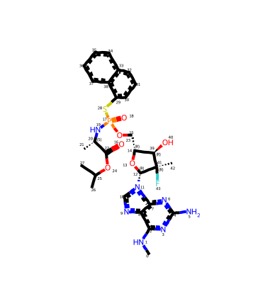 CNc1nc(N)nc2c1ncn2[C@@H]1O[C@H](COP(=O)(N[C@@H](C)C(=O)OC(C)C)Sc2cccc3ccccc23)[C@@H](O)[C@@]1(C)F